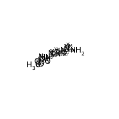 CS(=O)(=O)c1cncc(C(=O)NCc2cc3nc(-c4cccc(N5CCC[C@@H]5CN)n4)ccc3cn2)c1